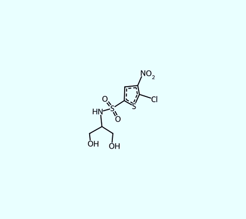 O=[N+]([O-])c1cc(S(=O)(=O)NC(CO)CO)sc1Cl